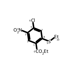 CCOC(=O)c1cc([N+](=O)[O-])c(Cl)cc1SCC